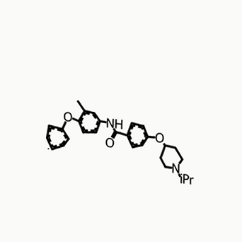 Cc1cc(NC(=O)c2ccc(OC3CCN(C(C)C)CC3)cc2)ccc1Oc1cc[c]cc1